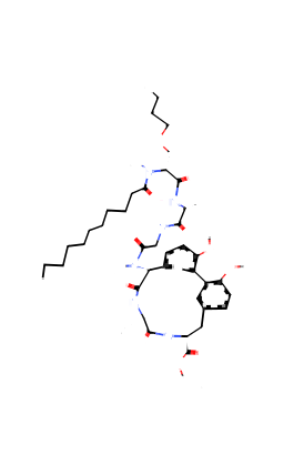 CCCCCCCCCCC(=O)N(C)[C@H](COCCCC)C(=O)N[C@H](C)C(=O)NCC(=O)N(C)[C@@H]1C(=O)N[C@@H](C)C(=O)N[C@H](C(=O)OC)Cc2ccc(OC)c(c2)-c2cc1ccc2OC